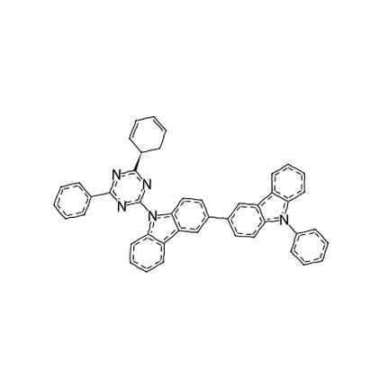 C1=CC[C@@H](c2nc(-c3ccccc3)nc(-n3c4ccccc4c4cc(-c5ccc6c(c5)c5ccccc5n6-c5ccccc5)ccc43)n2)C=C1